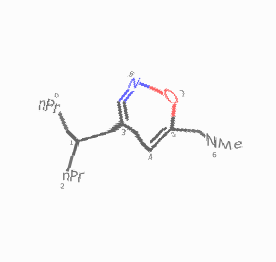 CCCC(CCC)c1cc(NC)on1